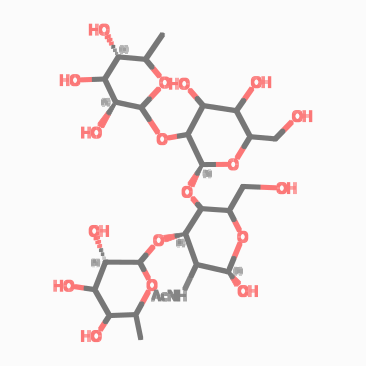 CC(=O)NC1[C@@H](OC2OC(C)C(O)C(O)[C@@H]2O)C(O[C@@H]2OC(CO)C(O)C(O)C2OC2OC(C)[C@@H](O)C(O)[C@@H]2O)C(CO)O[C@H]1O